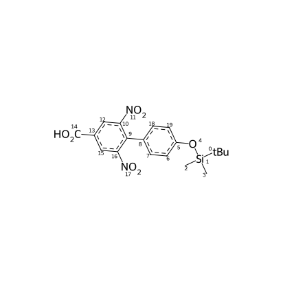 CC(C)(C)[Si](C)(C)Oc1ccc(-c2c([N+](=O)[O-])cc(C(=O)O)cc2[N+](=O)[O-])cc1